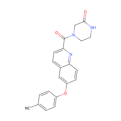 N#Cc1ccc(Oc2ccc3nc(C(=O)N4CCNC(=O)C4)ccc3c2)cc1